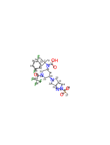 CC(C)(C)N(C(=O)O)[C@H]1C[C@@H](N2Cc3cn(S(C)(=O)=O)nc3C2)CN(C(=O)C(F)(F)F)[C@@H]1c1cc(F)ccc1F